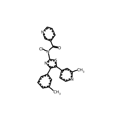 Cc1cccc(-c2nc(N(Cl)C(=O)c3cccnc3)sc2-c2ccnc(C)c2)c1